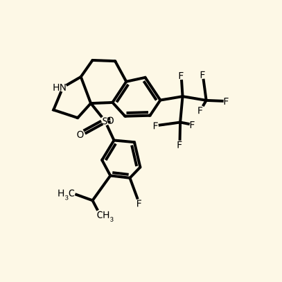 CC(C)c1cc(S(=O)(=O)C23CCNC2CCc2cc(C(F)(C(F)(F)F)C(F)(F)F)ccc23)ccc1F